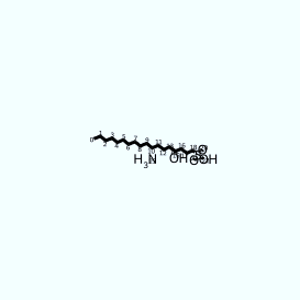 CCCCCCCCCCCCCCC(O)CCCS(=O)(=O)O.N